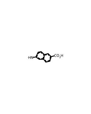 [NH]c1ccc2cc(C(=O)O)ccc2c1